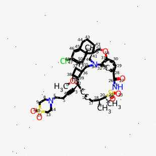 CO[C@@]1(C#CCCN2CCS(=O)(=O)CC2)CCC[C@H](C)[C@@H](C)S(=O)(=O)NC(=O)c2ccc3c(c2)N(C[C@@H]2CC[C@H]21)C[C@@]1(CCCC2=CC(Cl)=CCC21C)CO3